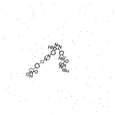 Cc1cc(-c2ncnc3[nH]c4cc(N5CCN(C6CC(c7ccc(C8CCC(=O)NC8=O)cc7)C6)CC5)ccc4c23)ccc1[C@@H](C)NC(=O)c1nc(C(C)(C)C)no1